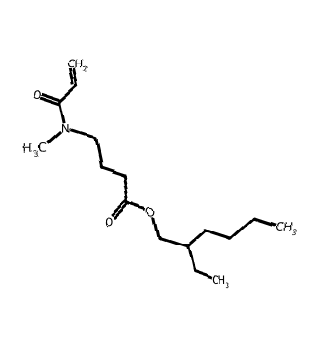 C=CC(=O)N(C)CCCC(=O)OCC(CC)CCCC